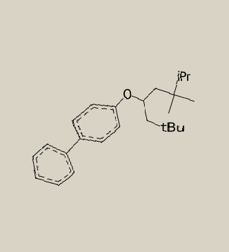 CC(C)C(C)(C)CC(CC(C)(C)C)Oc1ccc(-c2ccccc2)cc1